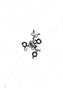 CCOC(CN1C(=O)[C@@](CC(=O)Nc2ccc(C)cc2)(NC(=O)Nc2ccccc2Cl)c2ccccc21)OCC